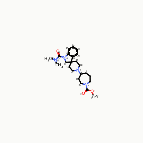 CCCOC(=O)N1CCCC(N2CCC3(CC2)CN(C(=O)N(C)C)c2ccccc23)CC1